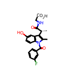 Cc1c([C@@H](C)C(=O)NCC(=O)O)c2cc(O)ccc2n1C(=O)c1cccc(F)c1